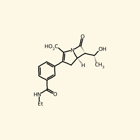 CCNC(=O)c1cccc(C2=C(C(=O)O)N3C(=O)[C@H]([C@@H](C)O)[C@H]3C2)c1